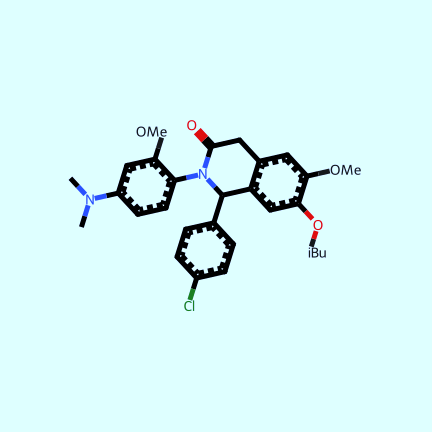 CCC(C)Oc1cc2c(cc1OC)CC(=O)N(c1ccc(N(C)C)cc1OC)C2c1ccc(Cl)cc1